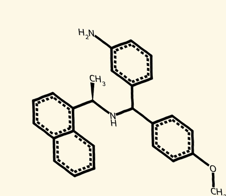 COc1ccc(C(N[C@H](C)c2cccc3ccccc23)c2cccc(N)c2)cc1